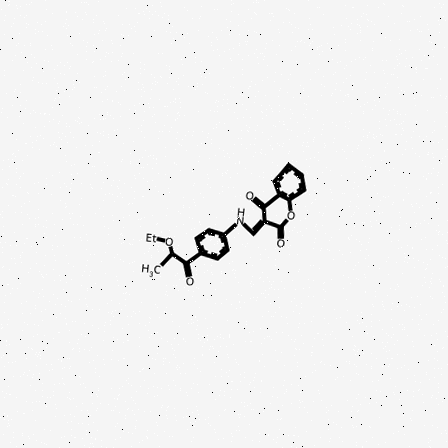 CCOC(C)C(=O)c1ccc(NC=C2C(=O)Oc3ccccc3C2=O)cc1